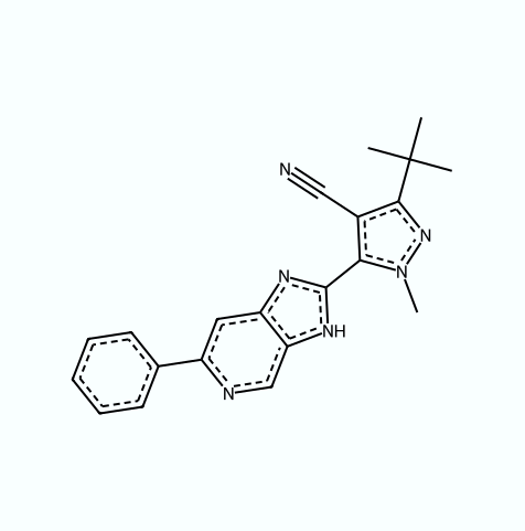 Cn1nc(C(C)(C)C)c(C#N)c1-c1nc2cc(-c3ccccc3)ncc2[nH]1